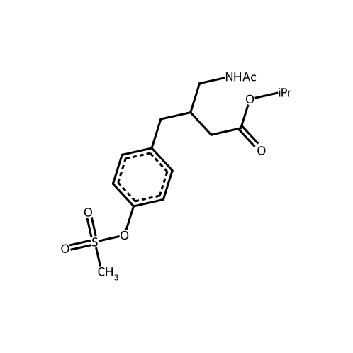 CC(=O)NCC(CC(=O)OC(C)C)Cc1ccc(OS(C)(=O)=O)cc1